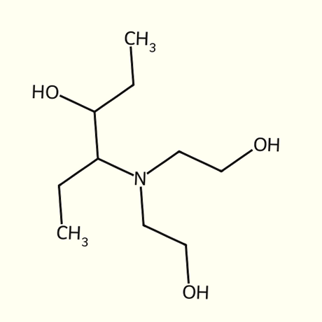 CCC(O)C(CC)N(CCO)CCO